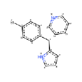 CCc1ccc(Cc2ccc[nH]2)cc1.c1ccncc1